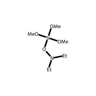 CCN(CC)O[Si](OC)(OC)OC